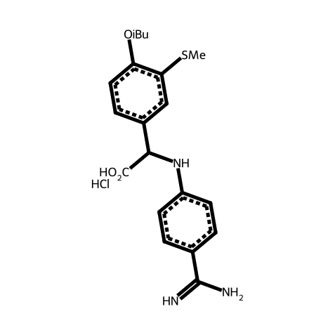 CSc1cc(C(Nc2ccc(C(=N)N)cc2)C(=O)O)ccc1OCC(C)C.Cl